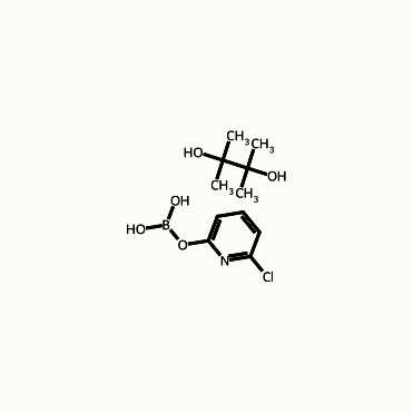 CC(C)(O)C(C)(C)O.OB(O)Oc1cccc(Cl)n1